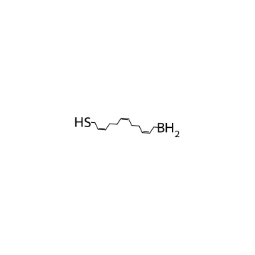 BC/C=C\CC/C=C\CC/C=C\CS